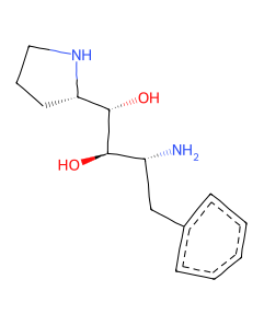 N[C@H](Cc1ccccc1)[C@@H](O)[C@@H](O)[C@@H]1CCCN1